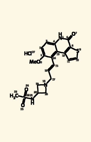 COc1ccc2[nH]c(=O)c3sccc3c2c1/C=C/CN1CC(NS(C)(=O)=O)C1.Cl